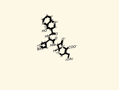 CC(=O)OCC1=C(C(=O)[O-])N2C(=O)[C@@H](NC(=O)C(NC(=O)c3cnc4cccnc4c3O)c3ccsc3)[C@H]2SC1.[Na+]